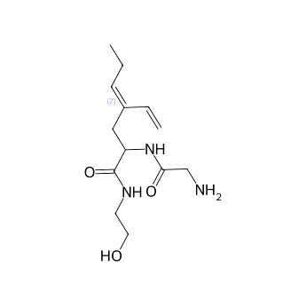 C=C/C(=C\CC)CC(NC(=O)CN)C(=O)NCCO